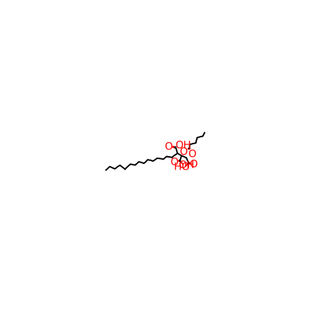 CCCCCCCCCCCCCCCC(C(=O)O)C(CC(=O)O)(OC(=O)CCCCC)C(=O)O